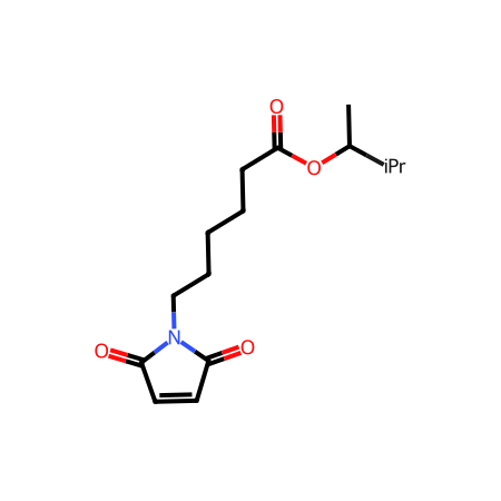 CC(C)C(C)OC(=O)CCCCCN1C(=O)C=CC1=O